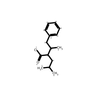 CC(C)CC(C(=O)Cl)C(C)Cc1ccccc1